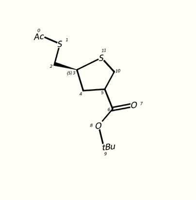 CC(=O)SC[C@@H]1CC(C(=O)OC(C)(C)C)CS1